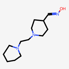 ON=CC1CCN(CCN2CCCCC2)CC1